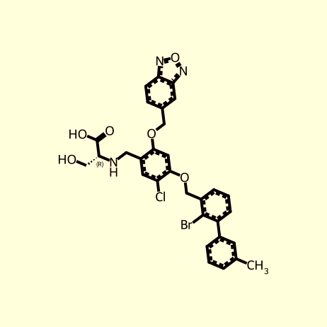 Cc1cccc(-c2cccc(COc3cc(OCc4ccc5nonc5c4)c(CN[C@H](CO)C(=O)O)cc3Cl)c2Br)c1